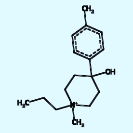 CCC[N+]1(C)CCC(O)(c2ccc(C)cc2)CC1